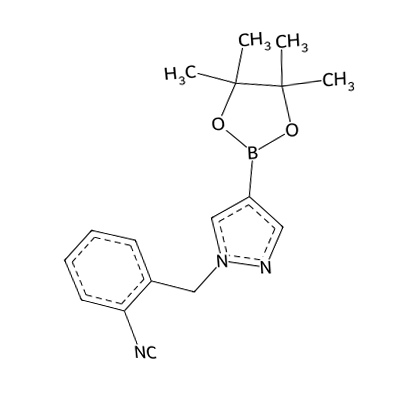 [C-]#[N+]c1ccccc1Cn1cc(B2OC(C)(C)C(C)(C)O2)cn1